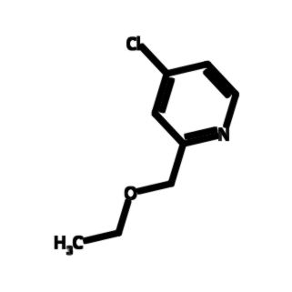 CCOCc1cc(Cl)ccn1